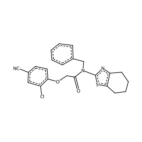 N#Cc1ccc(OCC(=O)N(Cc2ccccc2)c2nc3c(s2)CCCC3)c(Cl)c1